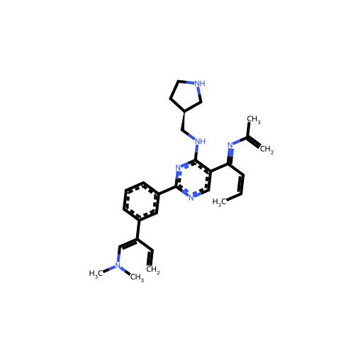 C=C/C(=C\N(C)C)c1cccc(-c2ncc(C(/C=C\C)=N/C(=C)C)c(NC[C@H]3CCNC3)n2)c1